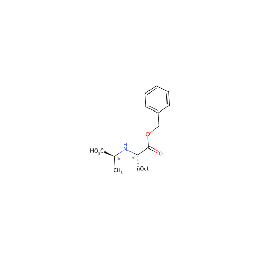 CCCCCCCC[C@H](N[C@@H](C)C(=O)O)C(=O)OCc1ccccc1